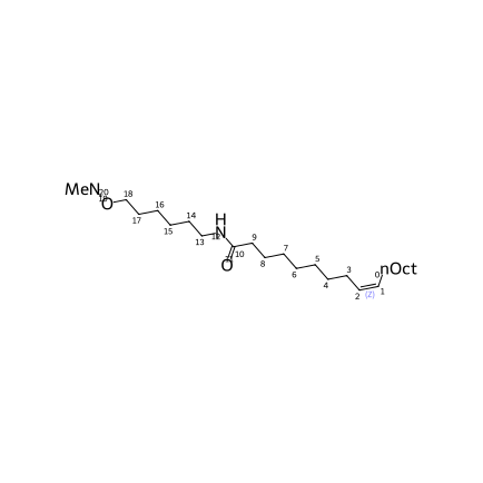 CCCCCCCC/C=C\CCCCCCCC(=O)NCCCCCCONC